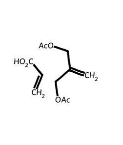 C=C(COC(C)=O)COC(C)=O.C=CC(=O)O